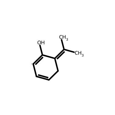 CC(C)=C1CC=C[C]=C1O